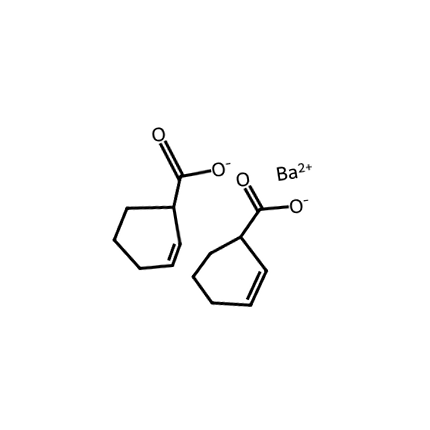 O=C([O-])C1C=CCCC1.O=C([O-])C1C=CCCC1.[Ba+2]